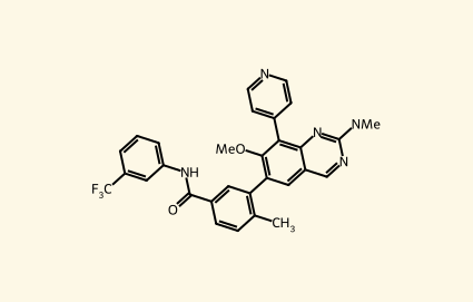 CNc1ncc2cc(-c3cc(C(=O)Nc4cccc(C(F)(F)F)c4)ccc3C)c(OC)c(-c3ccncc3)c2n1